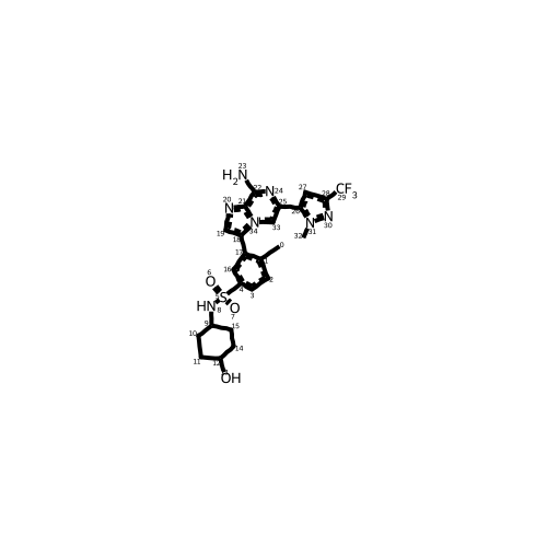 Cc1ccc(S(=O)(=O)NC2CCC(O)CC2)cc1-c1cnc2c(N)nc(-c3cc(C(F)(F)F)nn3C)cn12